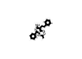 CC(=O)Nn1c(-c2ccccc2)nc(N)c(CCc2ccccc2)c1=O